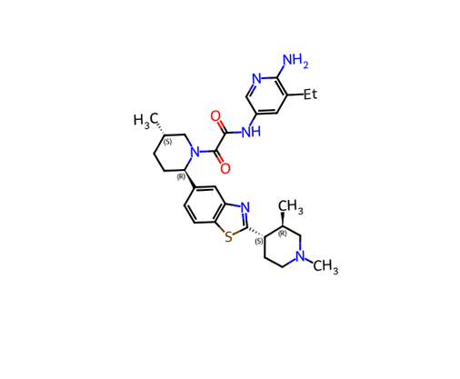 CCc1cc(NC(=O)C(=O)N2C[C@@H](C)CC[C@@H]2c2ccc3sc([C@H]4CCN(C)C[C@@H]4C)nc3c2)cnc1N